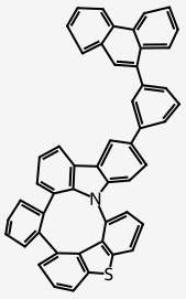 c1cc(-c2ccc3c(c2)c2cccc4c5ccccc5c5cccc6sc7cccc(c7c65)n3c42)cc(-c2cc3ccccc3c3ccccc23)c1